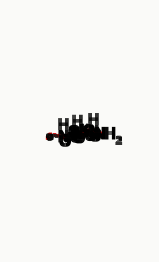 NCC(=O)NC(=O)Oc1ccc(C(=O)NS(=O)(=O)c2ccc(C(=O)NCCCCc3ccccc3)cc2)cn1